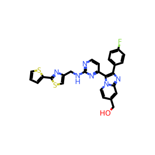 OCc1ccn2c(-c3ccnc(NCc4csc(-c5cccs5)n4)n3)c(-c3ccc(F)cc3)nc2c1